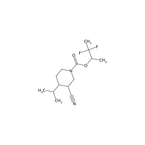 CC(C)C1CCN(C(=O)OC(C)C(C)(F)F)CC1C#N